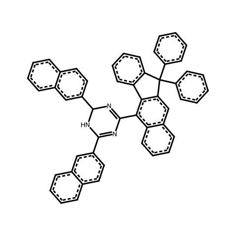 c1ccc(C2(c3ccccc3)c3ccccc3-c3c2cc2ccccc2c3C2=NC(c3ccc4ccccc4c3)NC(c3ccc4ccccc4c3)=N2)cc1